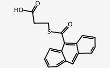 O=C(O)CCSC(=O)c1c2ccccc2cc2ccccc12